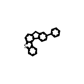 c1ccc(-c2ccc3c(c2)Cc2ccc4sc5ccccc5c4c2-3)cc1